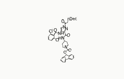 CCCCCCCCCCCC(=O)n1cc(NC(=O)c2c(Cl)cccc2Cl)c(C(=O)NC2CCN(C(=O)OC3c4ccccc4-c4ccccc43)CC2)n1